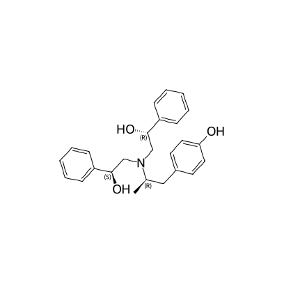 C[C@H](Cc1ccc(O)cc1)N(C[C@@H](O)c1ccccc1)C[C@H](O)c1ccccc1